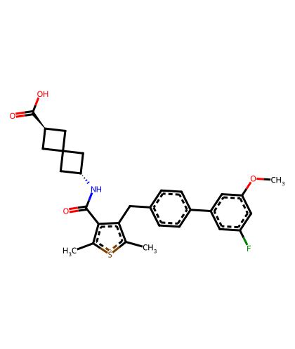 COc1cc(F)cc(-c2ccc(Cc3c(C)sc(C)c3C(=O)N[C@H]3CC4(C3)C[C@H](C(=O)O)C4)cc2)c1